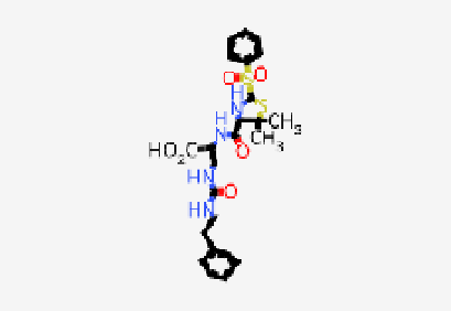 CC1(C)SC(S(=O)(=O)c2ccccc2)NC1C(=O)NC(CNC(=O)NCCc1ccccc1)C(=O)O